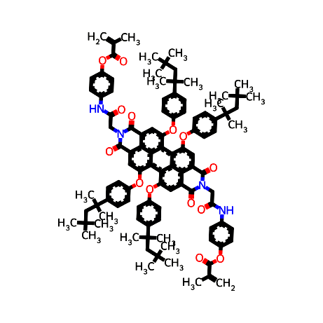 C=C(C)C(=O)Oc1ccc(NC(=O)CN2C(=O)c3cc(Oc4ccc(C(C)(C)CC(C)(C)C)cc4)c4c5c(Oc6ccc(C(C)(C)CC(C)(C)C)cc6)cc6c7c(cc(Oc8ccc(C(C)(C)CC(C)(C)C)cc8)c(c8c(Oc9ccc(C(C)(C)CC(C)(C)C)cc9)cc(c3c48)C2=O)c75)C(=O)N(CC(=O)Nc2ccc(OC(=O)C(=C)C)cc2)C6=O)cc1